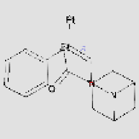 CCC(=O)N1CC2CC(C1)N2C/C=C(/CC)c1ccccc1